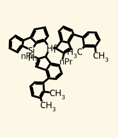 CCCC1=Cc2c(-c3cccc(C)c3C)cccc2[CH]1[Hf]([c]1cccc2c1[SiH2]c1ccccc1-2)[CH]1C(CCC)=Cc2c(-c3cccc(C)c3C)cccc21